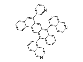 c1cncc(-c2cc3ccccc3c3cc4c(-c5cccc6cnccc56)c5ccccc5c(-c5cccc6cnccc56)c4cc23)c1